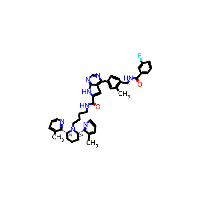 Cc1cc(-c2ncnc3[nH]c(C(=O)NCCCCN4[C@@H](c5ncccc5C)CCC[C@H]4c4ncccc4C)cc23)ccc1CNC(=O)c1cccc(F)c1